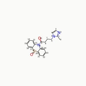 Cc1nccn1CCCC(=O)N1c2ccccc2[S+]([O-])c2ccccc21